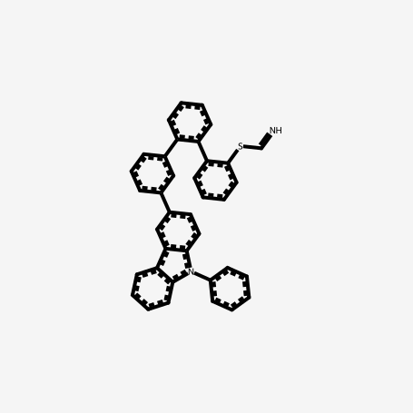 N=CSc1ccccc1-c1ccccc1-c1cccc(-c2ccc3c(c2)c2ccccc2n3-c2ccccc2)c1